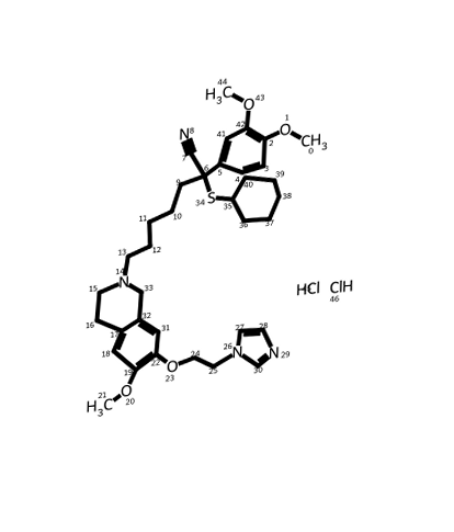 COc1ccc(C(C#N)(CCCCCN2CCc3cc(OC)c(OCCn4ccnc4)cc3C2)SC2CCCCC2)cc1OC.Cl.Cl